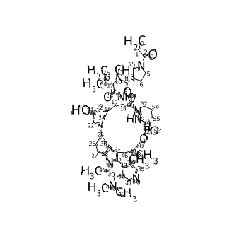 C=CC(=O)N1CC[C@H](C(=O)N(C)[C@H](C(=O)N[C@H]2Cc3cc(O)cc(c3)-c3ccc4c(c3)c(c(-c3ccncc3CN(C)C)n4CC)CC(C)(C)COC(=O)[C@@H]3CCCN(N3)C2=O)C(C)C)C1